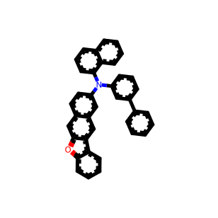 c1ccc(-c2cccc(N(c3ccc4cc5oc6ccccc6c5cc4c3)c3cccc4ccccc34)c2)cc1